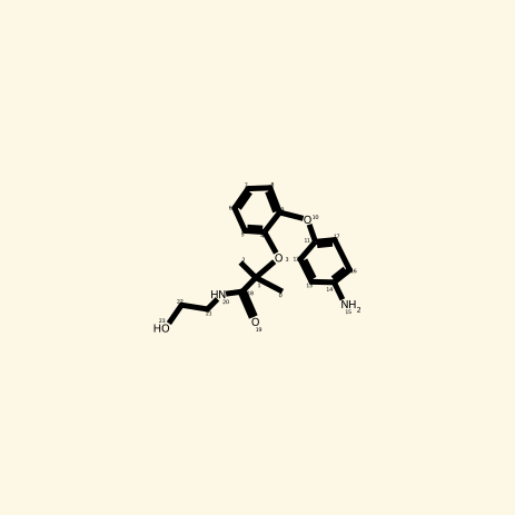 CC(C)(Oc1ccccc1Oc1ccc(N)cc1)C(=O)NCCO